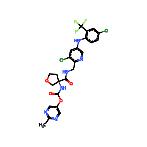 Cc1ncc(OC(=O)N[C@@]2(C(=O)NCc3ncc(Nc4ccc(Cl)cc4C(F)(F)F)cc3Cl)CCOC2)cn1